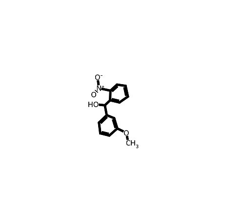 COc1cccc(C(O)c2ccccc2[N+](=O)[O-])c1